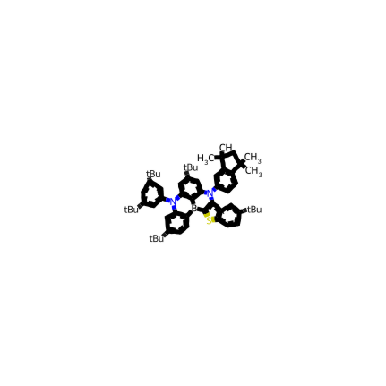 CC(C)(C)c1cc(N2c3cc(C(C)(C)C)ccc3B3c4sc5ccc(C(C)(C)C)cc5c4N(c4ccc5c(c4)C(C)(C)CC5(C)C)c4cc(C(C)(C)C)cc2c43)cc(C(C)(C)C)c1